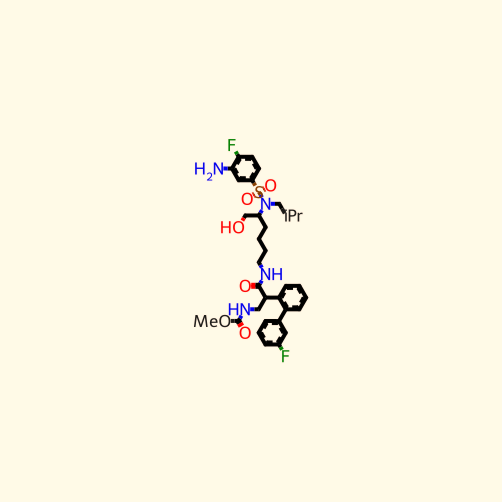 COC(=O)NCC(C(=O)NCCCCC(CO)N(CC(C)C)S(=O)(=O)c1ccc(F)c(N)c1)c1ccccc1-c1cccc(F)c1